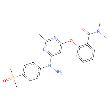 Cc1nc(Oc2ccccc2C(=O)N(C)C)cc(N(N)c2ccc(P(C)(C)=O)cc2)n1